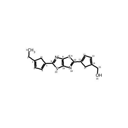 CCC1=CC=C(c2nc3sc(C4=CC=C(CO)C4)nc3s2)C1